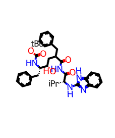 CC(C)[C@@H](Nc1nc2ccccc2[nH]1)C(=O)NC(=O)C(Cc1ccccc1)C[C@H](O)[C@H](Cc1ccccc1)NC(=O)OC(C)(C)C